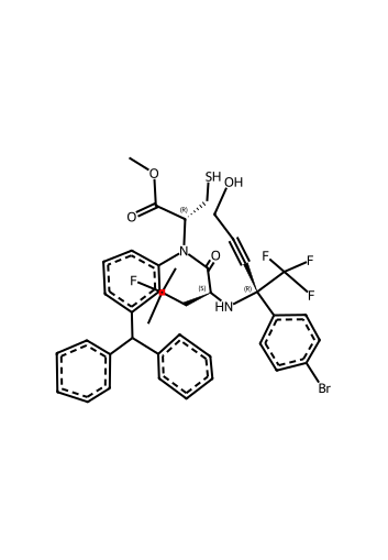 COC(=O)[C@H](CS)N(C(=O)[C@H](CC(C)(C)F)N[C@@](C#CCO)(c1ccc(Br)cc1)C(F)(F)F)c1cccc(C(c2ccccc2)c2ccccc2)c1